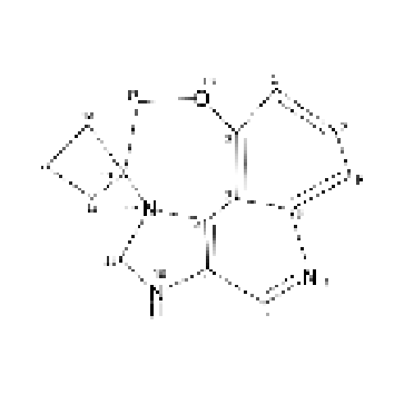 c1cc2c3c4c(cnc3c1)NCN4C1(CCC1)CO2